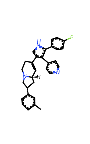 Cc1cccc([C@@H]2C[C@H]3C=C(c4c[nH]c(-c5ccc(F)cc5)c4-c4ccncc4)CCN3C2)c1